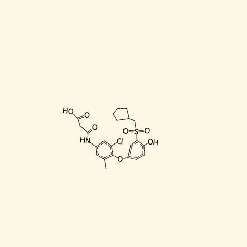 Cc1cc(NC(=O)CC(=O)O)cc(Cl)c1Oc1ccc(O)c(S(=O)(=O)CC2CCCC2)c1